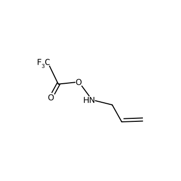 C=CCNOC(=O)C(F)(F)F